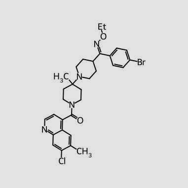 CCON=C(c1ccc(Br)cc1)C1CCN(C2(C)CCN(C(=O)c3ccnc4cc(Cl)c(C)cc34)CC2)CC1